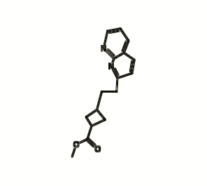 COC(=O)C1CC(CCc2ccc3cccnc3n2)C1